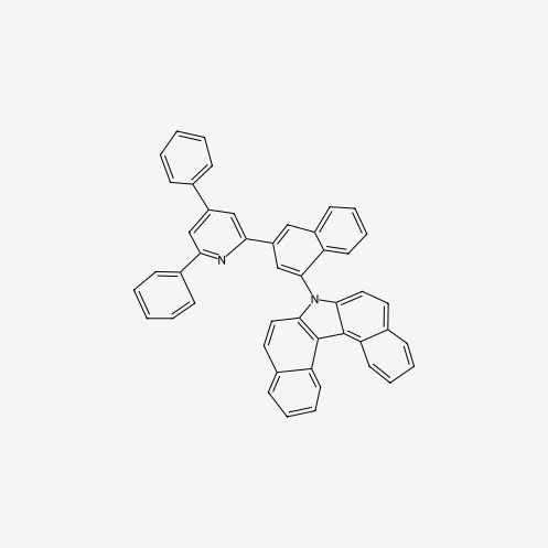 c1ccc(-c2cc(-c3ccccc3)nc(-c3cc(-n4c5ccc6ccccc6c5c5c6ccccc6ccc54)c4ccccc4c3)c2)cc1